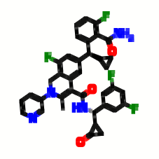 CC1=C(C(=O)N[C@H](c2cc(F)cc(F)c2)C2CC2=O)c2cc([C@@H](c3cccc(F)c3C(N)=O)C3CC3)cc(F)c2CN1c1cccnc1